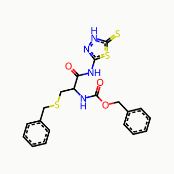 O=C(NC(CSCc1ccccc1)C(=O)Nc1n[nH]c(=S)s1)OCc1ccccc1